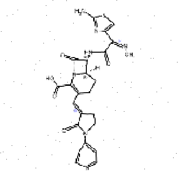 Nc1nc(/C(=N/O)C(=O)N[C@@H]2C(=O)N3C(C(=O)O)=C(/C=C4\CCN(c5ccncc5)C4=O)CC[C@H]23)cs1